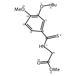 CCCCOc1cc(C(=S)NCC(=O)OC)ccc1OC